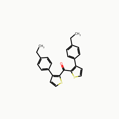 CCc1ccc(-c2ccsc2C(=O)c2sccc2-c2ccc(CC)cc2)cc1